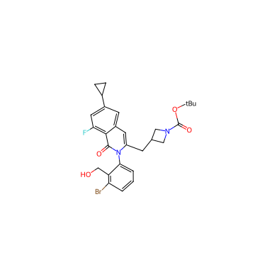 CC(C)(C)OC(=O)N1CC(Cc2cc3cc(C4CC4)cc(F)c3c(=O)n2-c2cccc(Br)c2CO)C1